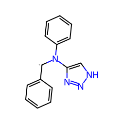 [CH](c1ccccc1)N(c1ccccc1)c1c[nH]nn1